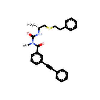 CCCN(C(=O)N[C@@H](CSCCc1ccccc1)C(=O)O)C(=O)c1cccc(C#Cc2ccccc2)c1